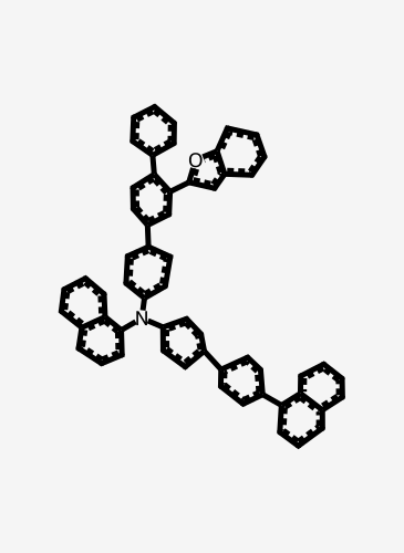 c1ccc(-c2ccc(-c3ccc(N(c4ccc(-c5ccc(-c6cccc7ccccc67)cc5)cc4)c4cccc5ccccc45)cc3)cc2-c2cc3ccccc3o2)cc1